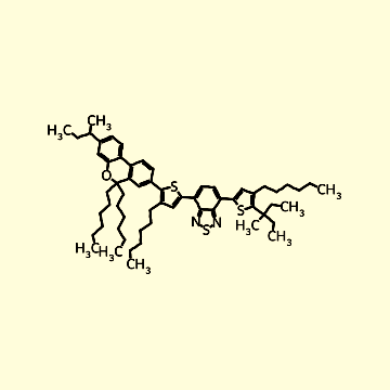 CCCCCCc1cc(-c2ccc(-c3cc(CCCCCC)c(C(C)(CC)CC)s3)c3nsnc23)sc1-c1ccc2c(c1)C(CCCCCC)(CCCCCC)Oc1cc(C(C)CC)ccc1-2